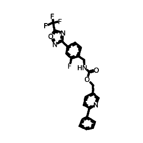 O=C(NCc1ccc(-c2noc(C(F)(F)F)n2)cc1F)OCc1ccc(-c2ccccc2)nc1